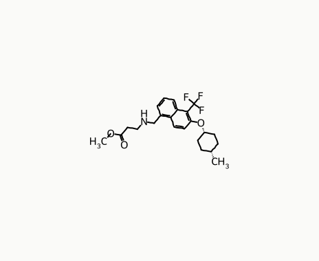 COC(=O)CCNCc1cccc2c(C(F)(F)F)c(O[C@H]3CC[C@@H](C)CC3)ccc12